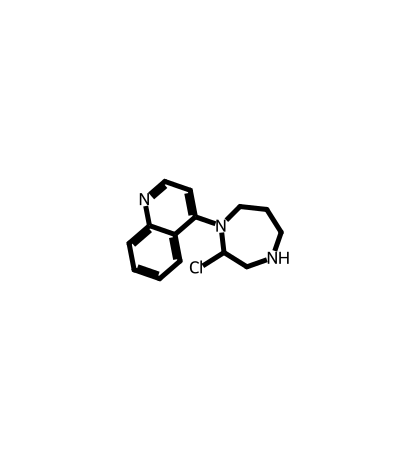 ClC1CNCCCN1c1ccnc2ccccc12